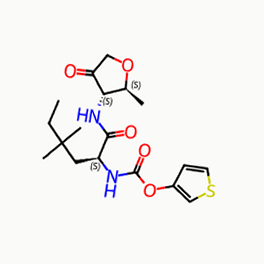 CCC(C)(C)C[C@H](NC(=O)Oc1ccsc1)C(=O)N[C@@H]1C(=O)CO[C@H]1C